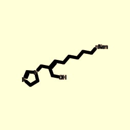 CCCCCCCCCCCCCCC=C(CO)CN1C=NCC1